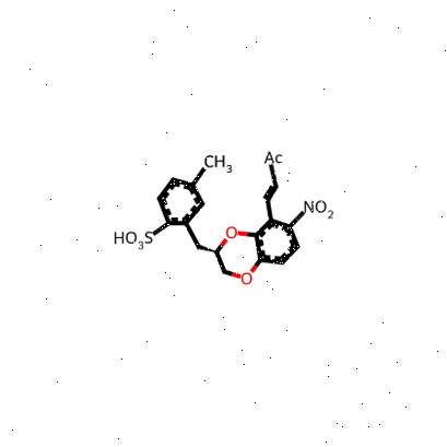 CC(=O)/C=C/c1c([N+](=O)[O-])ccc2c1O[C@H](Cc1cc(C)ccc1S(=O)(=O)O)CO2